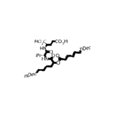 CCCCCCCCCCCCCCCC(=O)OC(CCCCCCCCCCCCCC)C(=O)N[C@@H](C(=O)N[C@H](CCC(=O)O)C(=O)O)C(C)C